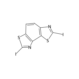 Ic1nc2c(ccc3nc(I)sc32)s1